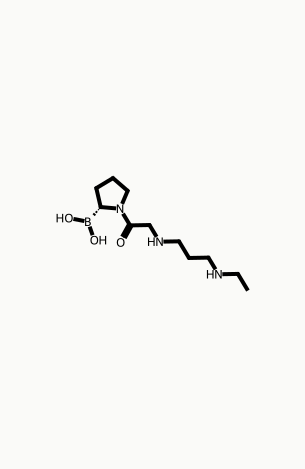 CCNCCCNCC(=O)N1CCC[C@H]1B(O)O